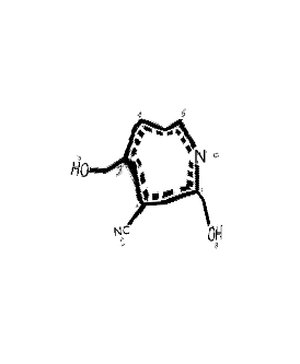 N#Cc1c(O)ccnc1O